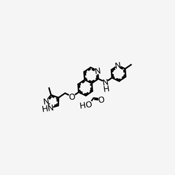 Cc1ccc(Nc2nccc3cc(OCc4c[nH]nc4C)ccc23)cn1.O=CO